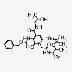 CC(O)CNC(=O)c1ccn(CC(=O)NC(C(C)C)C(O[Si](C)(C)C(C)(C)C)C(F)(F)F)c(=O)c1NC(=O)OCc1ccccc1